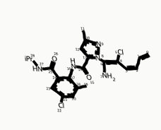 C=C/C=C\C(Cl)=C(/N)n1nc(C)cc1C(=O)Nc1c(C)cc(Cl)cc1C(=O)NC(C)C